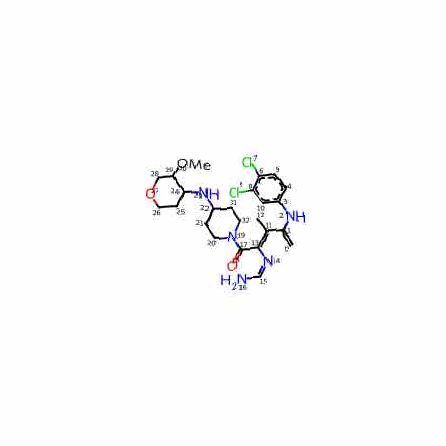 C=C(Nc1ccc(Cl)c(Cl)c1)/C(C)=C(\N=C/N)C(=O)N1CCC(NC2CCOCC2OC)CC1